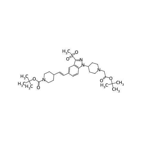 CC(C)(C)OC(=O)CN1CCC(n2nc(S(C)(=O)=O)c3cc(C=CC4CCN(C(=O)OC(C)(C)C)CC4)ccc32)CC1